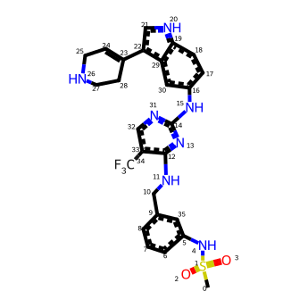 CS(=O)(=O)Nc1cccc(CNc2nc(Nc3ccc4[nH]cc(C5=CCNCC5)c4c3)ncc2C(F)(F)F)c1